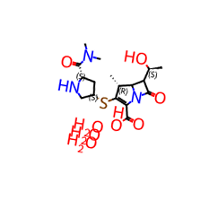 C[C@H](O)C1C(=O)N2C(C(=O)O)=C(S[C@@H]3CN[C@H](C(=O)N(C)C)C3)[C@H](C)C12.O.O.O